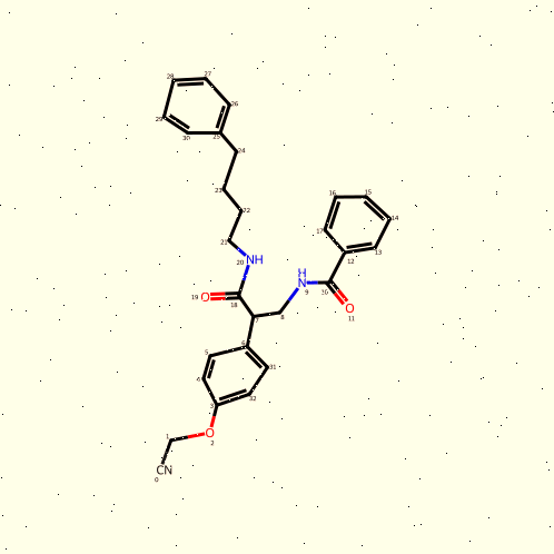 N#CCOc1ccc(C(CNC(=O)c2ccccc2)C(=O)NCCCCc2ccccc2)cc1